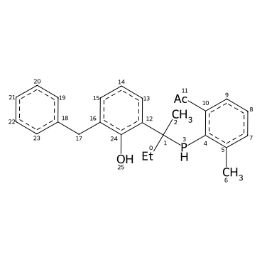 CCC(C)(Pc1c(C)cccc1C(C)=O)c1cccc(Cc2ccccc2)c1O